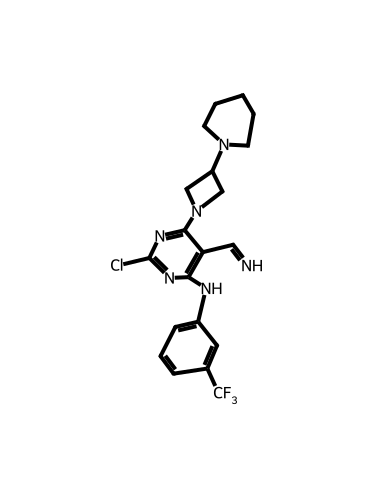 N=Cc1c(Nc2cccc(C(F)(F)F)c2)nc(Cl)nc1N1CC(N2CCCCC2)C1